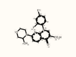 CC1COCCN1c1ccc2c(=O)c(C(=O)O)cn(-c3ccc(F)cc3F)c2n1